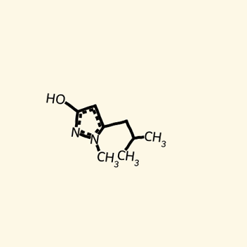 CC(C)Cc1cc(O)nn1C